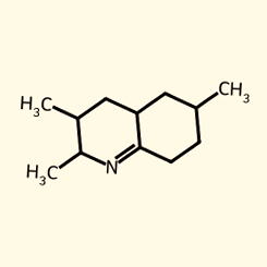 CC1CCC2=NC(C)C(C)CC2C1